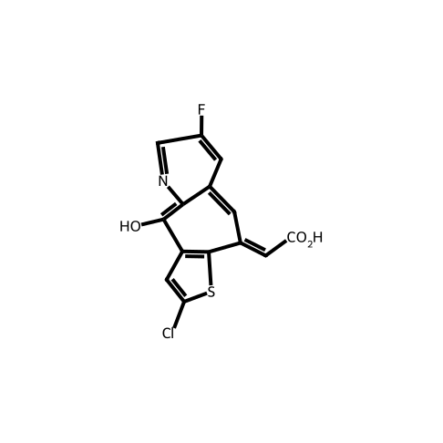 O=C(O)C=C1C=c2cc(F)cnc2=C(O)c2cc(Cl)sc21